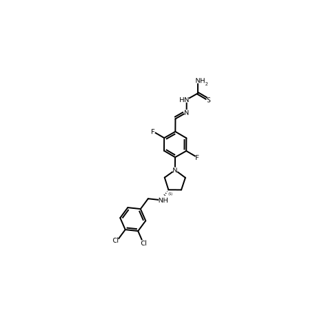 NC(=S)NN=Cc1cc(F)c(N2CC[C@H](NCc3ccc(Cl)c(Cl)c3)C2)cc1F